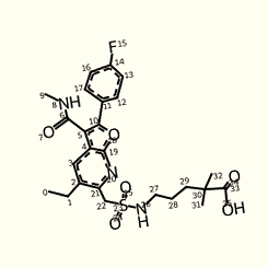 CCc1cc2c(C(=O)NC)c(-c3ccc(F)cc3)oc2nc1CS(=O)(=O)NCCCC(C)(C)C(=O)O